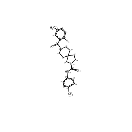 Cc1ccc(F)c(C(=O)N2CCC3(CCN(C(=O)Nc4ccc(C(F)(F)F)cc4)C3)CC2)c1